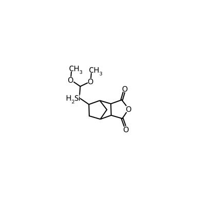 COC(OC)[SiH2]C1CC2CC1C1C(=O)OC(=O)C21